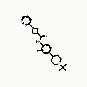 CC(C)(C)N1CCC(c2ccc(NC(=O)C3CN(c4cccnn4)C3)c(F)c2)CC1